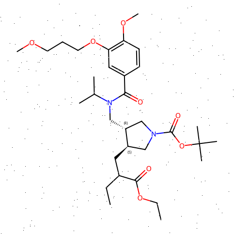 CCOC(=O)C(CC)C[C@@H]1CN(C(=O)OC(C)(C)C)C[C@H]1CN(C(=O)c1ccc(OC)c(OCCCOC)c1)C(C)C